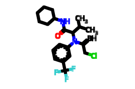 B=C(CCl)N(c1cccc(C(F)(F)F)c1)C(C(=O)NC1CCCCC1)C(C)C